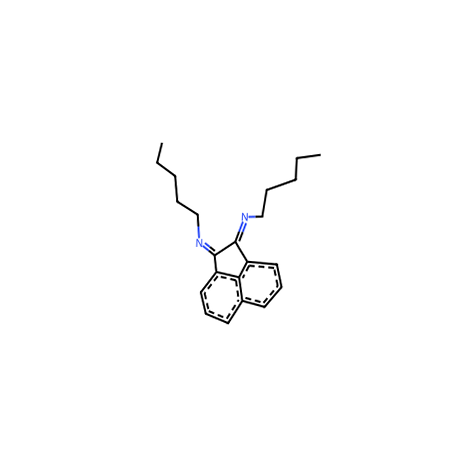 CCCCCN=C1C(=NCCCCC)c2cccc3cccc1c23